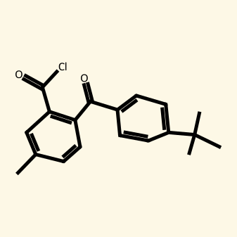 Cc1ccc(C(=O)c2ccc(C(C)(C)C)cc2)c(C(=O)Cl)c1